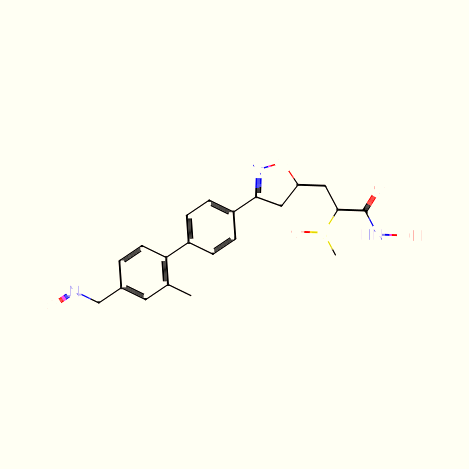 Cc1cc(CN=O)ccc1-c1ccc(C2=NOC(CC(C(=O)NO)[S+](C)[O-])C2)cc1